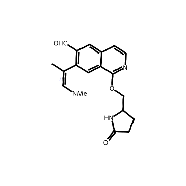 CN/C=C(/C)c1cc2c(OCC3CCC(=O)N3)nccc2cc1C=O